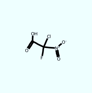 O=C(O)C(F)(Cl)[N+](=O)[O-]